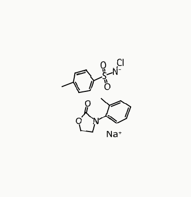 Cc1ccc(S(=O)(=O)[N-]Cl)cc1.Cc1ccccc1N1CCOC1=O.[Na+]